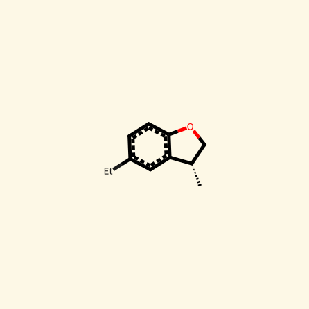 CCc1ccc2c(c1)[C@@H](C)CO2